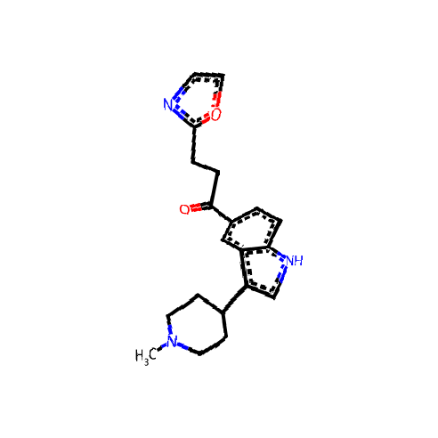 CN1CCC(c2c[nH]c3ccc(C(=O)CCc4ncco4)cc23)CC1